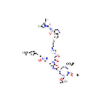 C#C[C@H]1CC(F)(F)CN1C(=O)CNC(=O)c1ccnc2ccc(OCCCCN3CCN(C(=O)CC(=O)NC(=O)[C@H](CCCCCNC(=O)CCCc4ccc(C)cc4)NC(=O)CN4CCN(COC=O)CCN(COC=O)CCN(CC(=O)O)CC4)CC3)cc12